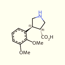 COc1cccc([C@H]2CNC[C@@H]2C(=O)O)c1OC